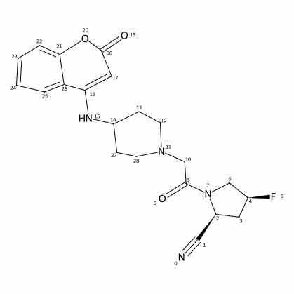 N#C[C@@H]1C[C@H](F)CN1C(=O)CN1CCC(Nc2cc(=O)oc3ccccc23)CC1